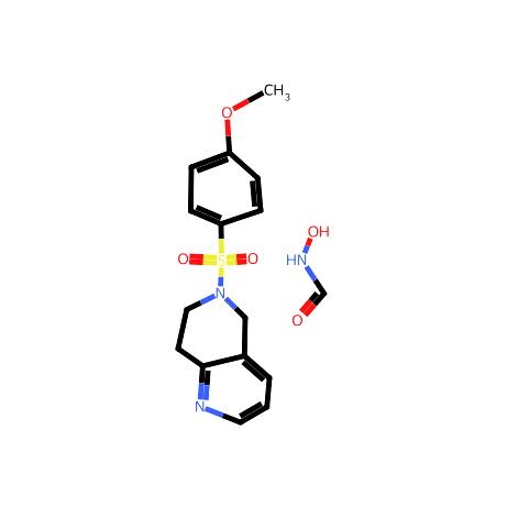 COc1ccc(S(=O)(=O)N2CCc3ncccc3C2)cc1.O=CNO